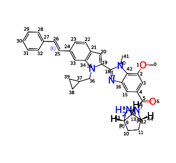 COc1cc(C(=O)N2C[C@H]3CC[C@@H]2[C@H]3N)cc2nc(-c3cc4ccc(/C=C/c5ccccc5)cc4n3CC3CC3)n(C)c12